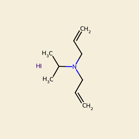 C=CCN(CC=C)C(C)C.I